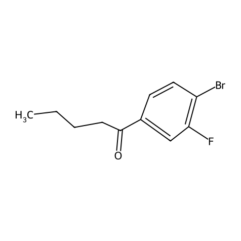 CCCCC(=O)c1ccc(Br)c(F)c1